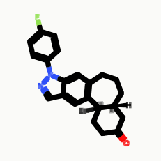 CC[C@]12CCC(=O)C[C@H]1CCCc1cc3c(cnn3-c3ccc(F)cc3)cc12